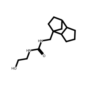 O=C(NCCO)NCC12CCC(C1)C1CCCC12